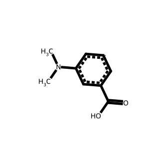 CN(C)c1c[c]cc(C(=O)O)c1